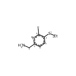 CCSc1ccc(CN)nc1C